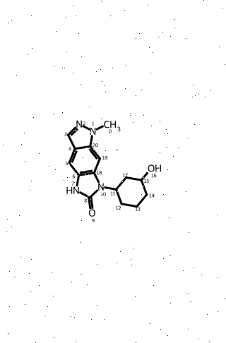 Cn1ncc2cc3[nH]c(=O)n(C4CCCC(O)C4)c3cc21